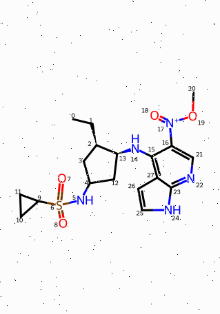 CC[C@@H]1CC(NS(=O)(=O)C2CC2)C[C@@H]1Nc1c([N+](=O)OC)cnc2[nH]ccc12